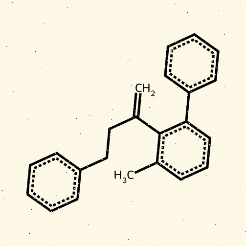 C=C(CCc1ccccc1)c1c(C)cccc1-c1ccccc1